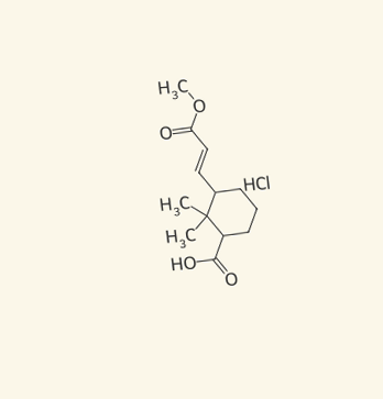 COC(=O)C=CC1CCCC(C(=O)O)C1(C)C.Cl